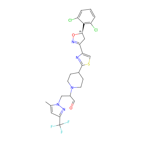 Cc1cc(C(F)(F)F)nn1CC(C=O)N1CCC(c2nc(C3=NO[C@@H](c4c(Cl)cccc4Cl)C3)cs2)CC1